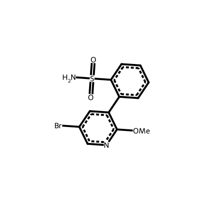 COc1ncc(Br)cc1-c1ccccc1S(N)(=O)=O